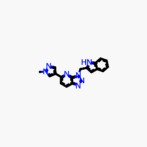 Cn1cc(-c2ccc3nnn(Cc4cc5ccccc5[nH]4)c3n2)cn1